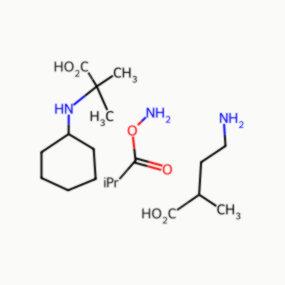 CC(C)(NC1CCCCC1)C(=O)O.CC(C)C(=O)ON.CC(CCN)C(=O)O